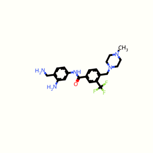 CN1CCN(Cc2ccc(C(=O)Nc3ccc(CN)c(N)c3)cc2C(F)(F)F)CC1